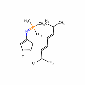 CC(C)C=CC=CC(C)C.CP(C)(C)=NC1=CC=CC1.[Ti]